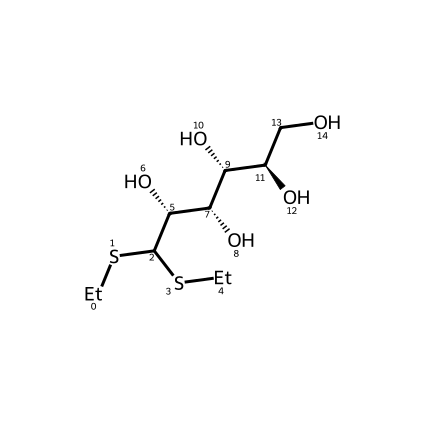 CCSC(SCC)[C@H](O)[C@@H](O)[C@H](O)[C@H](O)CO